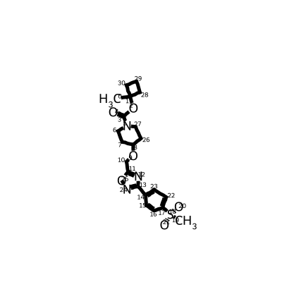 CC1(OC(=O)N2CCC(OCc3nc(-c4ccc(S(C)(=O)=O)cc4)no3)CC2)CCC1